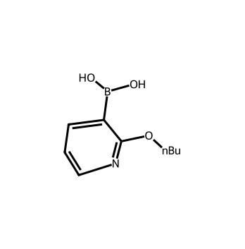 CCCCOc1ncccc1B(O)O